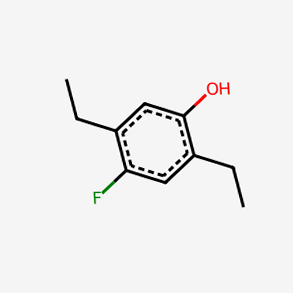 CCc1cc(F)c(CC)cc1O